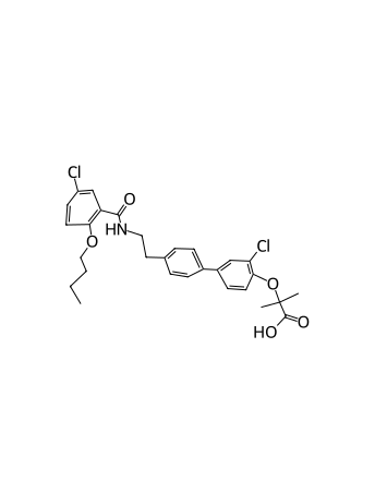 CCCCOc1ccc(Cl)cc1C(=O)NCCc1ccc(-c2ccc(OC(C)(C)C(=O)O)c(Cl)c2)cc1